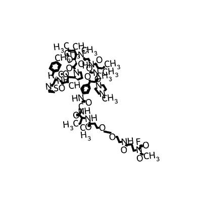 CC[C@H](C)[C@@H]([C@@H](CC(=O)N1CCC[C@H]1[C@H](OC)[C@@H](C)C(=O)N[C@@H](Cc1ccc(C)cc1)c1nccs1)OC)N(C)C(=O)CNC(=O)C(C(C)C)N(C)C(=O)OC(C(=O)N1CCN(C)CC1)c1ccc(NC(=O)CNC(=O)C(NC(=O)CCOCCOCCNC(=O)CCN(C(C)=O)C(=O)F)C(C)C)cc1